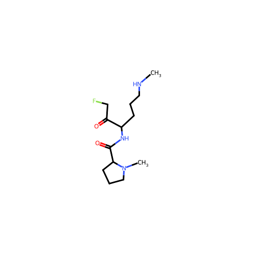 CNCCCC(NC(=O)C1CCCN1C)C(=O)CF